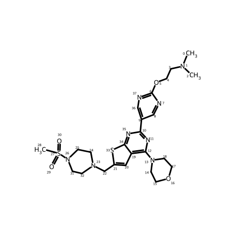 CN(C)CCOc1ncc(-c2nc(N3CCOCC3)c3cc(CN4CCN(S(C)(=O)=O)CC4)sc3n2)cn1